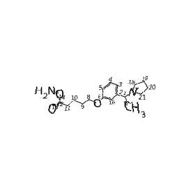 CC(c1cccc(OCCCCC(=O)ON)c1)N1CCCC1